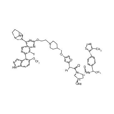 Cc1ncsc1-c1ccc(C(C)NC(=O)[C@@H]2C[C@@H](O)CN2C(=O)C(c2cc(OCC3CCN(CCOc4nc(N5CC6CCC(C5)N6)c5cnc(-c6c(OC(F)(F)F)ccc7[nH]ncc67)c(F)c5n4)CC3)no2)C(C)C)cc1